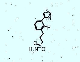 NS(=O)(=O)CCCc1cccc(-c2cscn2)c1F